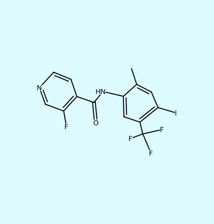 Cc1cc(I)c(C(F)(F)F)cc1NC(=O)c1ccncc1F